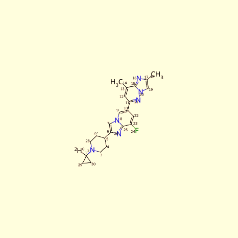 [2H]C1(N2CCC(c3cn4cc(-c5cc(C)c6nc(C)cn6n5)cc(F)c4n3)CC2)CC1